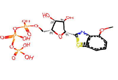 COc1cccc2sc([C@@H]3O[C@H](COP(=O)(O)OP(=O)(O)OP(=O)(O)O)[C@@H](O)[C@H]3O)nc12